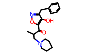 CC(CN1CCCCC1)C(=O)c1onc(Cc2ccccc2)c1O